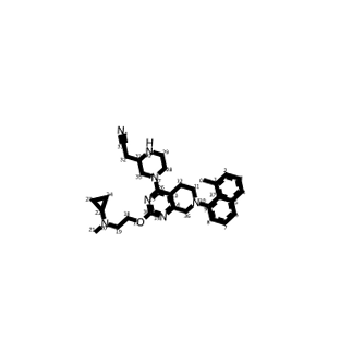 Cc1cccc2cccc(N3CCc4c(nc(OCCN(C)C5CC5)nc4N4CCNC(CC#N)C4)C3)c12